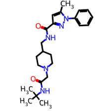 Cc1cc(C(=O)NCC2CCN(CC(=O)NC(C)(C)C)CC2)nn1-c1ccccc1